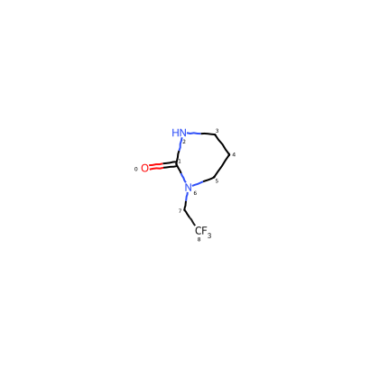 O=C1NCCCN1CC(F)(F)F